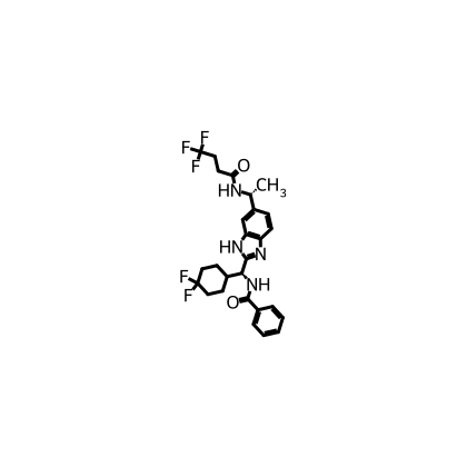 C[C@@H](NC(=O)CCC(F)(F)F)c1ccc2nc([C@@H](NC(=O)c3ccccc3)C3CCC(F)(F)CC3)[nH]c2c1